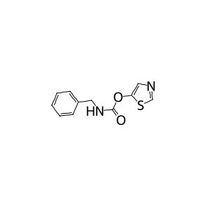 O=C(NCc1ccccc1)Oc1cncs1